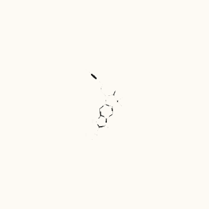 CC#CCCN1C(=O)C(C)(C)c2cc3nc(N)[nH]c3cc21